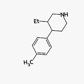 [CH2]CC1CNCCC1c1ccc(C)cc1